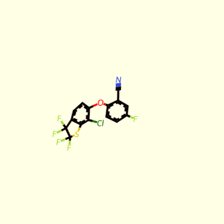 N#Cc1cc(F)ccc1Oc1ccc2c(c1Cl)SC(F)(F)C2(F)F